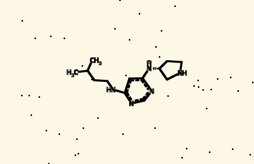 CC(C)CCNc1cc(N[C@@H]2CCNC2)ncn1